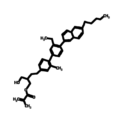 C=C(C)C(=O)OCC(CO)CCc1ccc(-c2ccc(C3=CC4C=CC(CCCCC)=CC4C=C3)c(CC)c2)c(C)c1